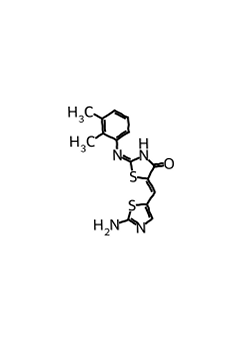 Cc1cccc(N=C2NC(=O)C(=Cc3cnc(N)s3)S2)c1C